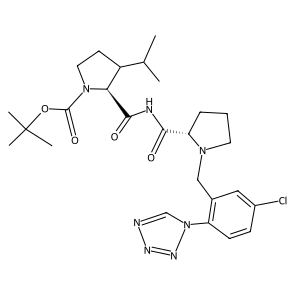 CC(C)C1CCN(C(=O)OC(C)(C)C)[C@@H]1C(=O)NC(=O)[C@@H]1CCCN1Cc1cc(Cl)ccc1-n1cnnn1